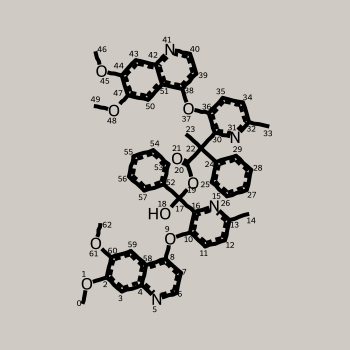 COc1cc2nccc(Oc3ccc(C)nc3C(O)(OC(=O)C(C)(c3ccccc3)c3nc(C)ccc3Oc3ccnc4cc(OC)c(OC)cc34)c3ccccc3)c2cc1OC